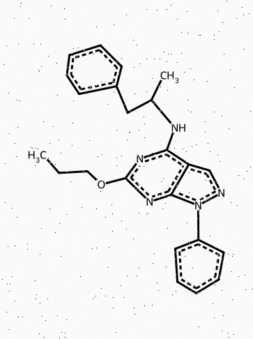 CCCOc1nc(NC(C)Cc2ccccc2)c2cnn(-c3ccccc3)c2n1